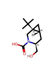 CC(C)(C)[C@@]12C[C@@H]1C[C@@H](CO)N(C(=O)O)C2